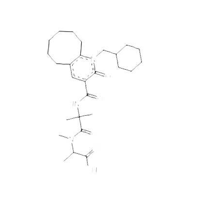 CC(C(=O)O)N(C)C(=O)C(C)(C)NC(=O)c1cc2c(n(CC3CCCCC3)c1=O)CCCCCC2